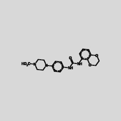 O=C(Nc1ccc(N2CCN(C(=O)O)CC2)cc1)Nc1cccc2c1OCCO2